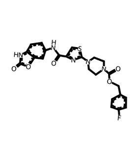 O=C(Nc1ccc2[nH]c(=O)oc2c1)c1csc(N2CCN(C(=O)OCc3ccc(F)cc3)CC2)n1